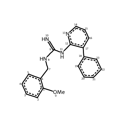 COc1ccccc1CNC(=N)Nc1ncccc1-c1ccccc1